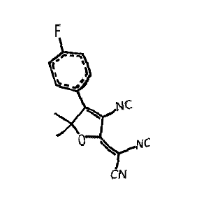 [C-]#[N+]C1=C(c2ccc(F)cc2)C(C)(C)O/C1=C(\C#N)[N+]#[C-]